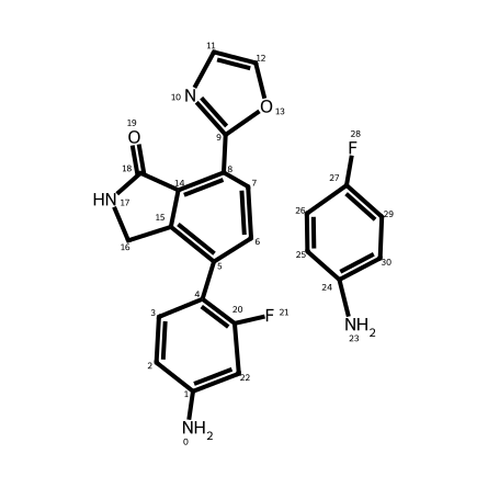 Nc1ccc(-c2ccc(-c3ncco3)c3c2CNC3=O)c(F)c1.Nc1ccc(F)cc1